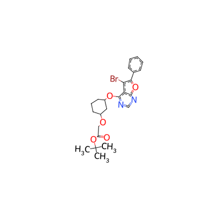 CC(C)(C)OC(=O)COC1CCCC(Oc2ncnc3oc(-c4ccccc4)c(Br)c23)C1